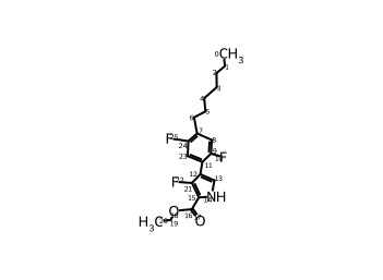 CCCCCCCc1cc(F)c(-c2c[nH]c(C(=O)OCC)c2F)cc1F